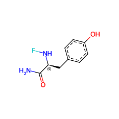 NC(=O)[C@H](Cc1ccc(O)cc1)NF